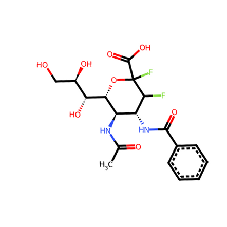 CC(=O)N[C@H]1[C@H]([C@H](O)[C@H](O)CO)OC(F)(C(=O)O)C(F)[C@@H]1NC(=O)c1ccccc1